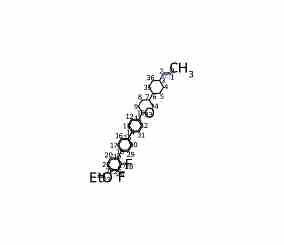 C/C=C/C1CCC(C2CCC(c3ccc(-c4ccc(-c5ccc(OCC)c(F)c5F)cc4)cc3)OC2)CC1